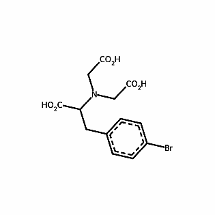 O=C(O)CN(CC(=O)O)C(Cc1ccc(Br)cc1)C(=O)O